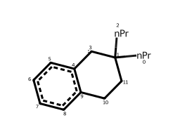 CCCC1(CCC)[C]c2ccccc2CC1